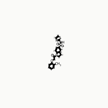 Cc1ccccc1OCC(=O)N1CCc2cc(S(=O)(=O)Nc3nccs3)ccc21